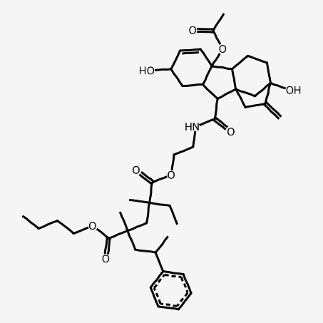 C=C1CC23CC1(O)CCC2C1(OC(C)=O)C=CC(O)CC1C3C(=O)NCCOC(=O)C(C)(CC)CC(C)(CC(C)c1ccccc1)C(=O)OCCCC